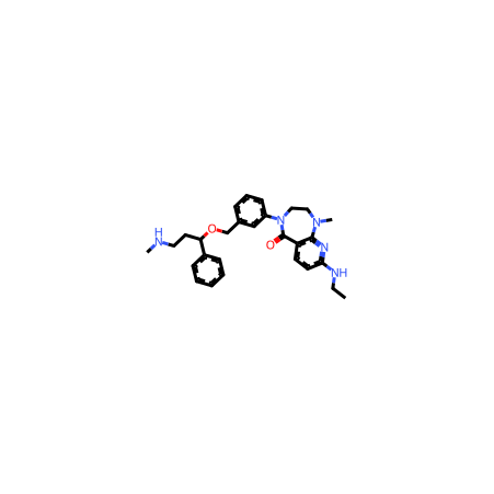 CCNc1ccc2c(n1)N(C)CCN(c1cccc(COC(CCNC)c3ccccc3)c1)C2=O